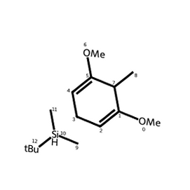 COC1=CCC=C(OC)C1C.C[SiH](C)C(C)(C)C